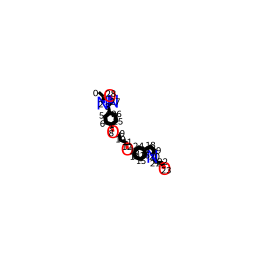 Cc1nc(-c2ccc(OCCCOc3ccc4c(ccn4CC=O)c3)cc2)no1